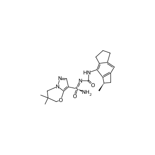 C[C@@H]1Cc2cc3c(c(NC(=O)N=[S@](N)(=O)c4cnn5c4OCC(C)(C)C5)c21)CCC3